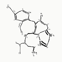 CC(C)C(CO)Nc1c(-c2ncc(Cl)cc2Cl)c(Cl)nc2ncnn12